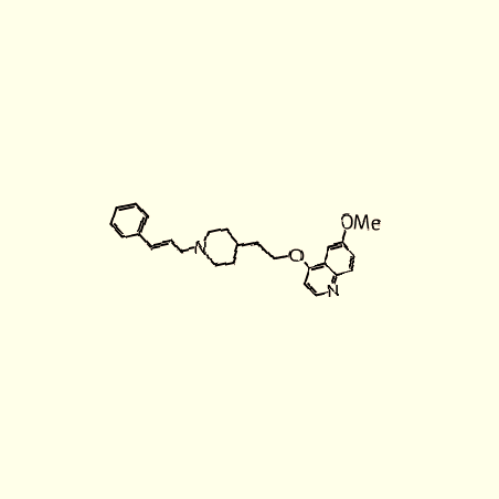 COc1ccc2nccc(OCCC3CCN(CC=Cc4ccccc4)CC3)c2c1